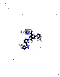 CCC(N[S@@+]([O-])C(C)(C)C)c1nc(N2CCC[C@H]2C)cc2c1CN(c1cccc(-c3nnc4n3[C@@H](C)CC4)n1)C2=O